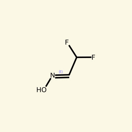 O/N=C/C(F)F